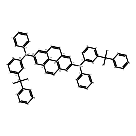 CC(C)(c1ccccc1)c1cccc(N(c2ccccc2)c2cc3ccc4cc(N(c5ccccc5)c5cccc(C(C)(C)c6ccccc6)c5)cc5ccc(c2)c3c45)c1